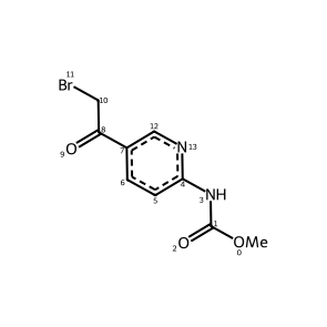 COC(=O)Nc1ccc(C(=O)CBr)cn1